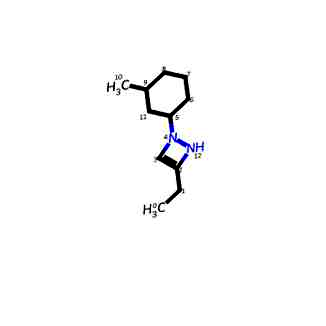 CCc1cn(C2CCCC(C)C2)[nH]1